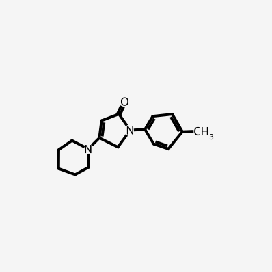 Cc1ccc(N2CC(N3CCCCC3)=CC2=O)cc1